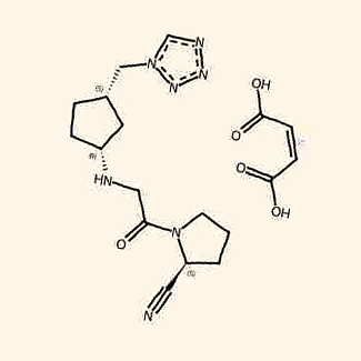 N#C[C@@H]1CCCN1C(=O)CN[C@@H]1CC[C@H](Cn2cnnn2)C1.O=C(O)/C=C\C(=O)O